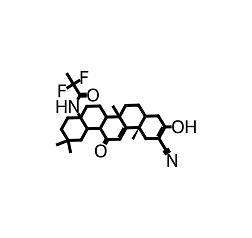 CC1(C)CCC2(NC(=O)C(C)(F)F)CCC3C(C(=O)C=C4C3(C)CCC3CC(O)=C(C#N)C[C@]43C)C2C1